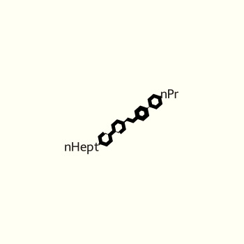 CCCCCCC[C@H]1CC[C@H]([C@H]2CC[C@H](CCc3ccc([C@H]4CC[C@H](CCC)CC4)cc3)CC2)CC1